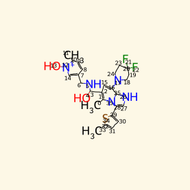 CC1=C(C(O)NCc2ccc(C)[n+](O)c2)C=C(N2CCC(F)(F)CC2)C2NC=C(c3ccc(C)s3)N12